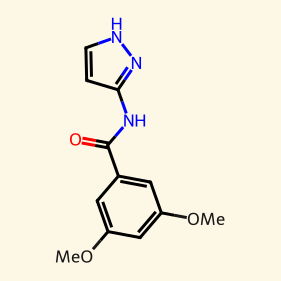 COc1cc(OC)cc(C(=O)Nc2cc[nH]n2)c1